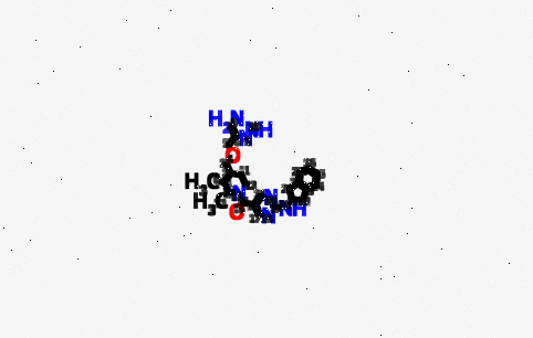 CC1C(COC/C(=C/N)N=N)CCN(C(=O)c2cnc(NC3Cc4ccccc4C3)nc2)C1C